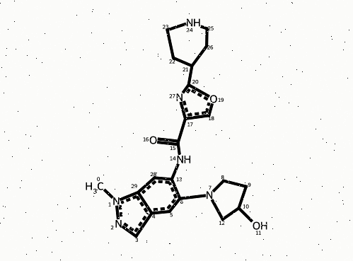 Cn1ncc2cc(N3CCC(O)C3)c(NC(=O)c3coc(C4CCNCC4)n3)cc21